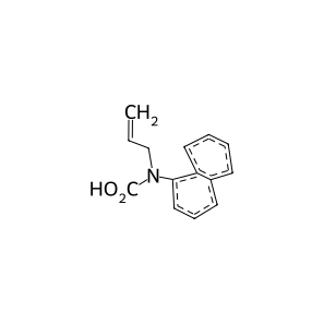 C=CCN(C(=O)O)c1cccc2ccccc12